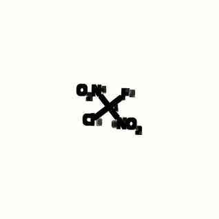 O=[N+]([O-])C(F)(Cl)[N+](=O)[O-]